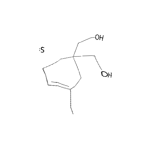 CC1=CCCC(CO)(CO)C1.[S]